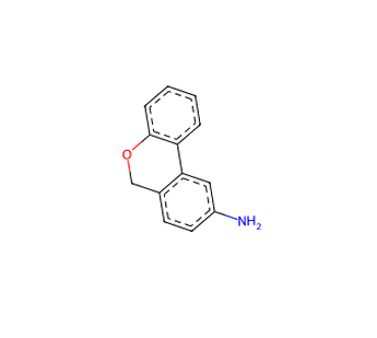 Nc1ccc2c(c1)-c1ccccc1OC2